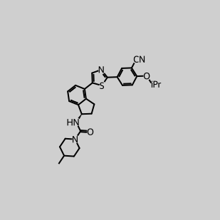 CC1CCN(C(=O)N[C@@H]2CCc3c(-c4cnc(-c5ccc(OC(C)C)c(C#N)c5)s4)cccc32)CC1